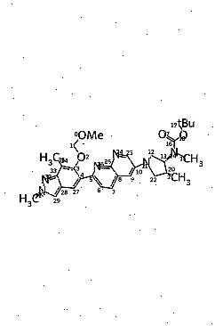 COCOc1c(-c2ccc3cc(N4C[C@@H](N(C)C(=O)OC(C)(C)C)[C@@H](C)C4)cnc3n2)cc2cn(C)nc2c1C